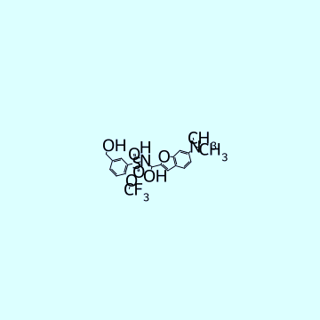 CN(C)c1ccc2cc(C(O)NS(=O)(=O)c3cc(CO)ccc3OC(F)(F)F)oc2c1